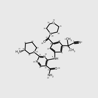 CC(C)(C#N)c1cc(Nc2nc(N3CCC[C@H](N)C3)ncc2C(N)=O)cc(C(=O)N2CCOCC2)c1